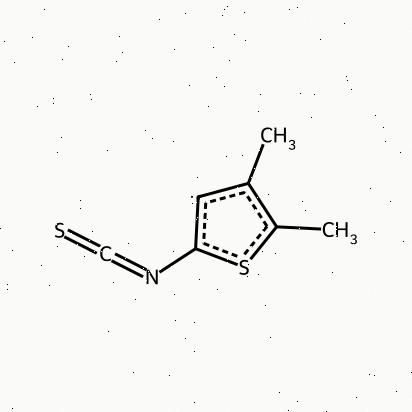 Cc1[c]c(N=C=S)sc1C